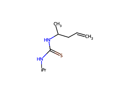 C=CCC(C)NC(=S)NC(C)C